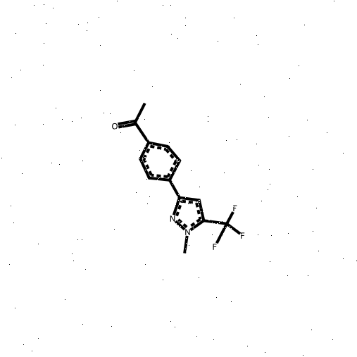 CC(=O)c1ccc(-c2cc(C(F)(F)F)n(C)n2)cc1